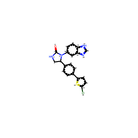 O=C1NCC(c2ccc(-c3ccc(Cl)s3)cc2)N1c1ccc2[nH]cnc2c1